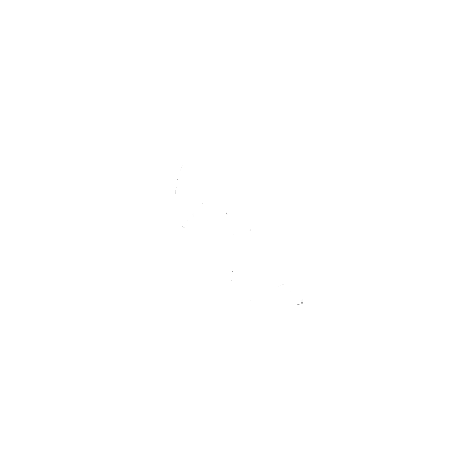 CC(C)(C)OC(=O)N1CC2CC2(c2cccc(Br)c2)C1